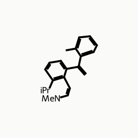 C=C(c1ccccc1C)c1cccc(C(C)C)c1/C=C\NC